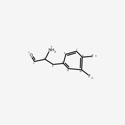 NC(C=O)Cc1ccc(F)c(F)c1